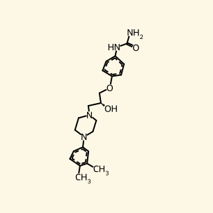 Cc1ccc(N2CCN(C[C@H](O)COc3ccc(NC(N)=O)cc3)CC2)cc1C